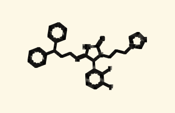 O=C1NC(=NCCC(c2ccccc2)c2ccccc2)C(c2cccc(F)c2F)N1CCCn1ccnc1